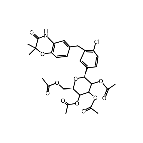 CC(=O)OC[C@H]1O[C@@H](c2ccc(Cl)c(Cc3ccc4c(c3)NC(=O)C(C)(C)O4)c2)C(OC(C)=O)C(OC(C)=O)C1OC(C)=O